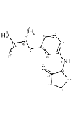 N[C@H](Cc1cccc(NC2CCCC2=O)c1)C(=O)O